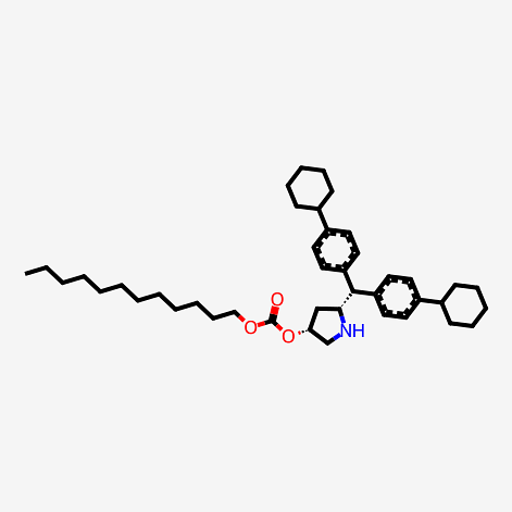 CCCCCCCCCCCCOC(=O)O[C@H]1CN[C@@H](C(c2ccc(C3CCCCC3)cc2)c2ccc(C3CCCCC3)cc2)C1